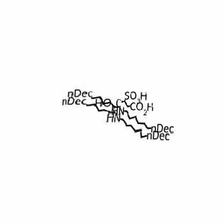 CCCCCCCCCCCCCCCCNCCCCCCCCCCCCCCCC.CCCCCCCCCCCCCCCCNCCCCCCCCCCCCCCCC.O=C(O)CC(C(=O)O)S(=O)(=O)O